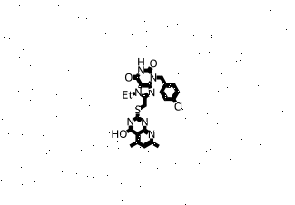 CCn1c(CSc2nc(O)c3c(C)cc(C)nc3n2)nc2c1c(=O)[nH]c(=O)n2Cc1ccc(Cl)cc1